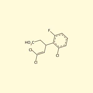 O=C(O)CC(C=C(Cl)Cl)c1c(F)cccc1Cl